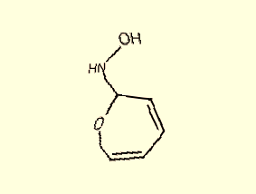 ONC1C=CC=CO1